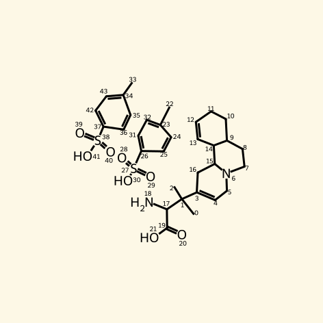 CC(C)(C1=CCN2CCC3CCC=CC3C2C1)C(N)C(=O)O.Cc1ccc(S(=O)(=O)O)cc1.Cc1ccc(S(=O)(=O)O)cc1